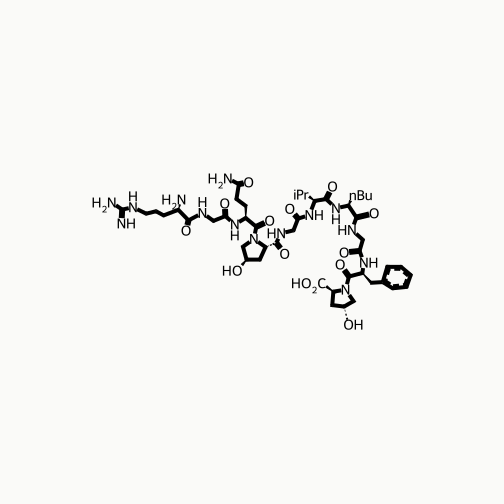 CCCC[C@H](NC(=O)[C@@H](NC(=O)CNC(=O)[C@@H]1C[C@@H](O)CN1C(=O)[C@H](CCC(N)=O)NC(=O)CNC(=O)[C@@H](N)CCCNC(=N)N)C(C)C)C(=O)NCC(=O)N[C@@H](Cc1ccccc1)C(=O)N1C[C@H](O)C[C@H]1C(=O)O